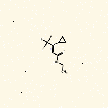 CCNC(=O)/C=C(\C1CC1)C(F)(F)F